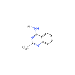 CC(C)Nc1nc(C(Cl)(Cl)Cl)nc2ccccc12